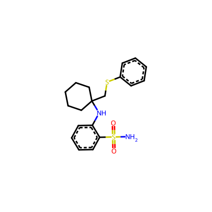 NS(=O)(=O)c1ccccc1NC1(CSc2ccccc2)CCCCC1